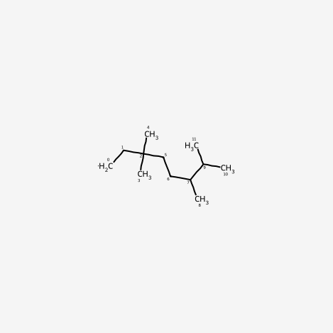 [CH2]CC(C)(C)CCC(C)C(C)C